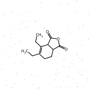 CCC1=C(CC)C2C(=O)OC(=O)C2CC1